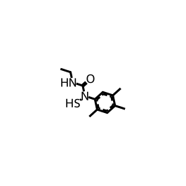 CCNC(=O)N(S)c1cc(C)c(C)cc1C